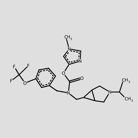 CC(C)N1CC2C(CN(Cc3cccc(OC(F)(F)F)c3)C(=O)Oc3cn(C)cn3)C2C1